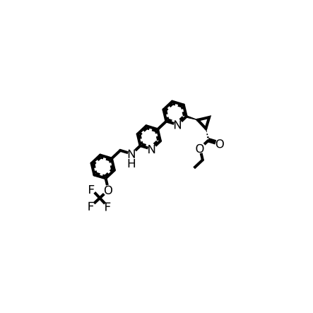 CCOC(=O)[C@H]1C[C@@H]1c1cccc(-c2ccc(NCc3cccc(OC(F)(F)F)c3)nc2)n1